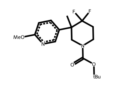 COc1ccc(C2(C)CN(C(=O)OC(C)(C)C)CCC2(F)F)cn1